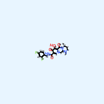 C[C@H]1CCN(C)C2Cn3cc(C(=O)NCc4ccc(F)cc4F)c(=O)c(O)c3C(=O)N21